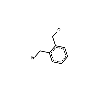 [O]Cc1ccccc1CBr